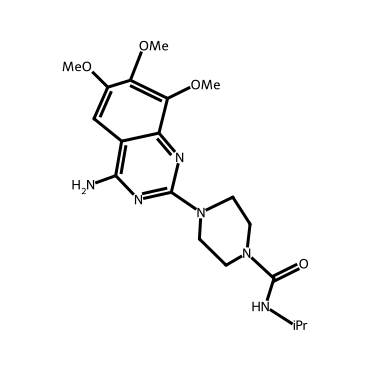 COc1cc2c(N)nc(N3CCN(C(=O)NC(C)C)CC3)nc2c(OC)c1OC